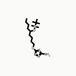 CCCCC(CCCCOc1nnc(N)s1)O[Si](C)(C)C(C)(C)C